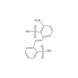 Nc1cccc(/C=C/c2ccccc2S(=O)(=O)O)c1S(=O)(=O)O